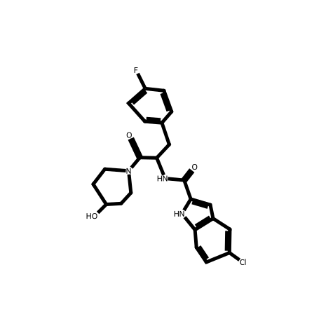 O=C(NC(Cc1ccc(F)cc1)C(=O)N1CCC(O)CC1)c1cc2cc(Cl)ccc2[nH]1